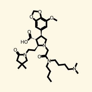 CCCCN(CCCCN(C)C)C(=O)CN1C[C@H](c2cc(OC)c3c(c2)OCO3)[C@@H](C(=O)O)[C@@H]1CCN1CC(C)(C)CC1=O